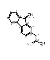 C=C1c2ccccc2-c2ccc(CC(=O)O)cc21